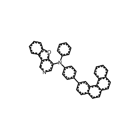 c1ccc(N(c2ccc(-c3ccc4ccc5ccc6ccccc6c5c4c3)cc2)c2cncc3c2oc2ccccc23)cc1